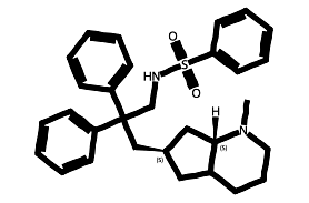 CN1CCCC2C[C@@H](CC(CNS(=O)(=O)c3ccccc3)(c3ccccc3)c3ccccc3)C[C@@H]21